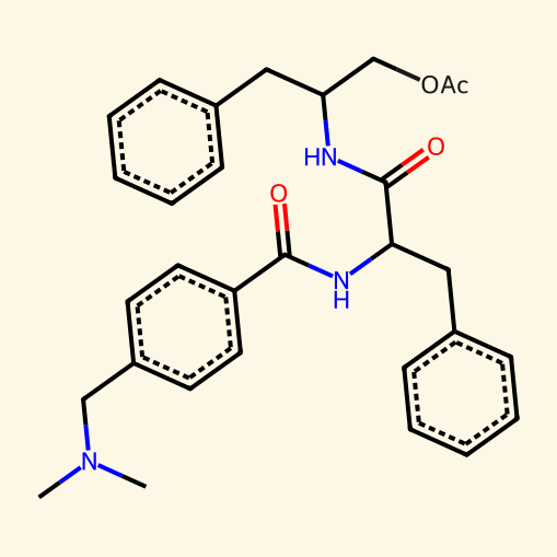 CC(=O)OCC(Cc1ccccc1)NC(=O)C(Cc1ccccc1)NC(=O)c1ccc(CN(C)C)cc1